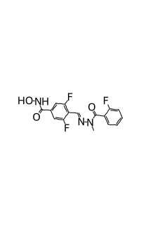 CN(N=Cc1c(F)cc(C(=O)NO)cc1F)C(=O)c1ccccc1F